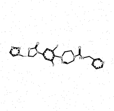 O=C(NCc1cccnc1)N1CC=NN(c2c(F)cc(N3C[C@H](Cn4ccnn4)OC3=O)cc2F)CC1